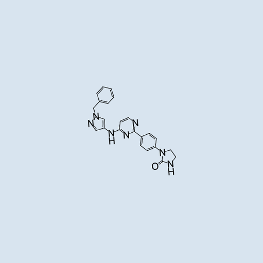 O=C1NCCN1c1ccc(-c2nccc(Nc3cnn(Cc4ccccc4)c3)n2)cc1